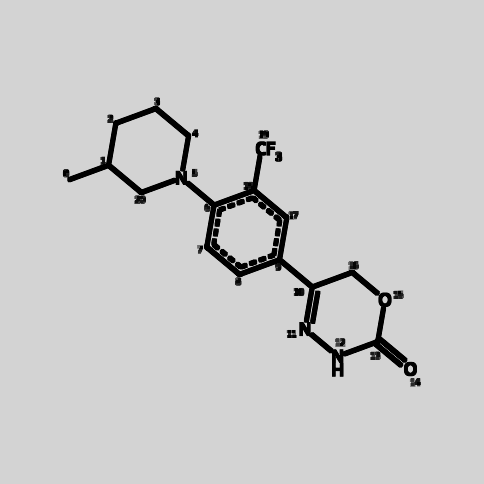 CC1CCCN(c2ccc(C3=NNC(=O)OC3)cc2C(F)(F)F)C1